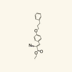 CCOC(=O)/C(C#N)=C/c1ccc(OCCCc2ccccc2)cc1